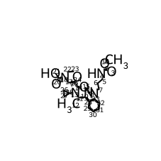 COC(=O)NCCCn1nc(C(C)N(C(=O)[C@H]2CN(C(=O)O)CCO2)C2CC2)c2ccccc21